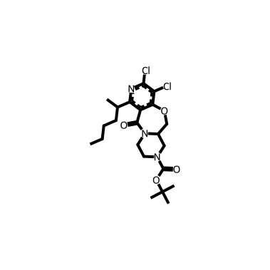 CCCCC(C)c1nc(Cl)c(Cl)c2c1C(=O)N1CCN(C(=O)OC(C)(C)C)CC1CO2